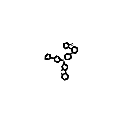 c1ccc(-c2ccc(N(c3ccc(-c4cccc5oc6ccccc6c45)cc3)c3ccc4c(c3)sc3ccccc34)cc2)cc1